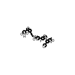 Cc1cc2c(N3CCOc4cc(-c5ccc(C(=O)NCC#Cc6ccc7occ(C8CCC(=O)NC8=O)c7c6)nc5)c(F)cc43)cc(C3CCOCC3)cc2n(C)c1=O